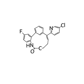 O=C1CCC/C=C(/c2ccc(Cl)cn2)c2cccc(c2)-c2cc(F)ccc2N1